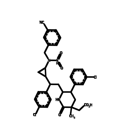 CC1(CC(=O)O)CC(c2cccc(Cl)c2)C(CC(c2ccc(Cl)cc2)C2CC2N(Cc2cccc(C#N)c2)[SH](=O)=O)NC1=O